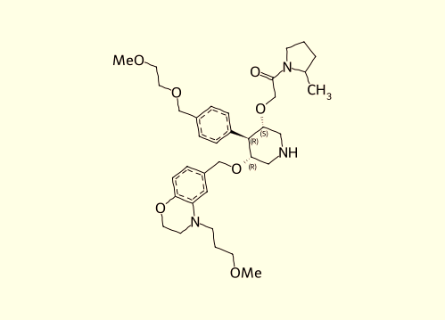 COCCCN1CCOc2ccc(CO[C@H]3CNC[C@@H](OCC(=O)N4CCCC4C)[C@@H]3c3ccc(COCCOC)cc3)cc21